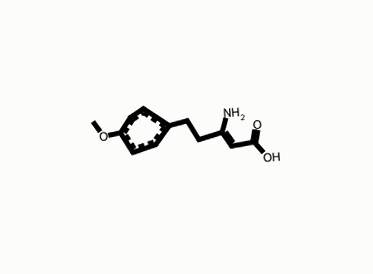 COc1ccc(CC/C(N)=C/C(=O)O)cc1